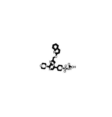 O=C(O)NS(=O)(=O)N1CCC(c2cnc(N3CCOCC3)c3nc(COc4ccc5ccccc5n4)cn23)CC1